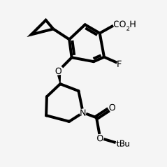 CC(C)(C)OC(=O)N1CCC[C@@H](Oc2cc(F)c(C(=O)O)cc2C2CC2)C1